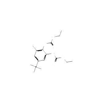 CCOC(=O)Oc1cc(C(C)(C)C)cc(C)c1OC(=O)OCC